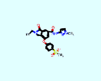 CC(C)CN1Cc2c(Oc3ccc(S(C)(=O)=O)cc3)cc(C(=O)Nc3ccn(C)n3)cc2C1=O